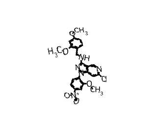 COc1ccc(CNc2nn(-c3ccc([N+](=O)[O-])cc3OC)c3cc(Cl)ncc23)c(OC)c1